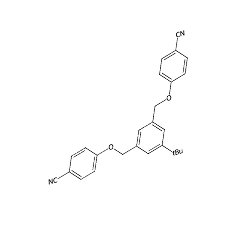 CC(C)(C)c1cc(COc2ccc(C#N)cc2)cc(COc2ccc(C#N)cc2)c1